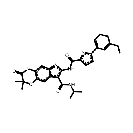 CCC1=CC(c2ccc(C(=O)Nc3[nH]c4cc5c(cc4c3C(=O)NC(C)C)OC(C)(C)C(=O)N5)s2)=CCC1